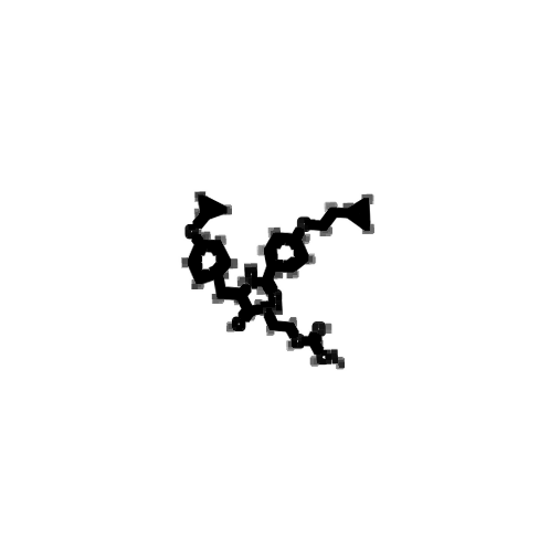 CC(=O)OCCNC(=O)/C(=C/c1ccc(OC2CC2)cc1)NC(=O)c1ccc(OCCC2CC2)cc1